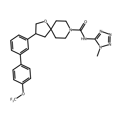 Cn1nnnc1NC(=O)N1CCC2(CC1)CC(c1cccc(-c3ccc(OC(F)(F)F)cc3)c1)CO2